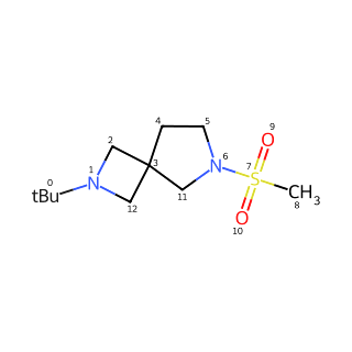 CC(C)(C)N1CC2(CCN(S(C)(=O)=O)C2)C1